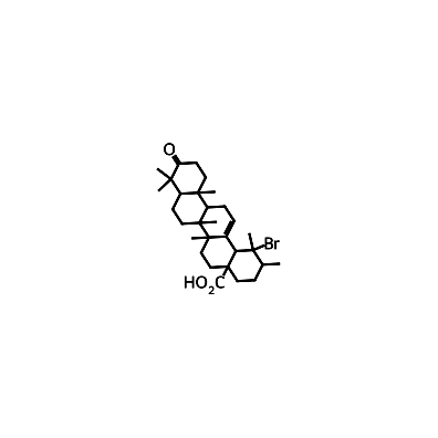 CC1CCC2(C(=O)O)CCC3(C)C(=CCC4C5(C)CCC(=O)C(C)(C)C5CCC43C)C2C1(C)Br